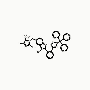 CCc1nc(C)c(C(=O)O)n1Cc1ccc2oc(-c3ccccc3-c3nnn(C(c4ccccc4)(c4ccccc4)c4ccccc4)n3)c(Br)c2c1